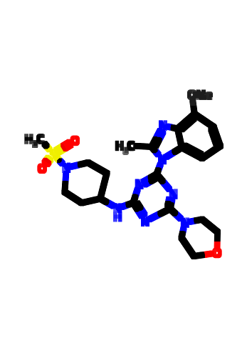 COc1cccc2c1nc(C)n2-c1nc(NC2CCN(S(C)(=O)=O)CC2)nc(N2CCOCC2)n1